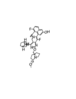 C#Cc1c(F)ccc2cc(O)cc(-c3ncc4c(N5C[C@H]6CC[C@@H](C5)N6)nc(OC[C@@]56CCCN5[C@@H](COC)CC6)nc4c3F)c12